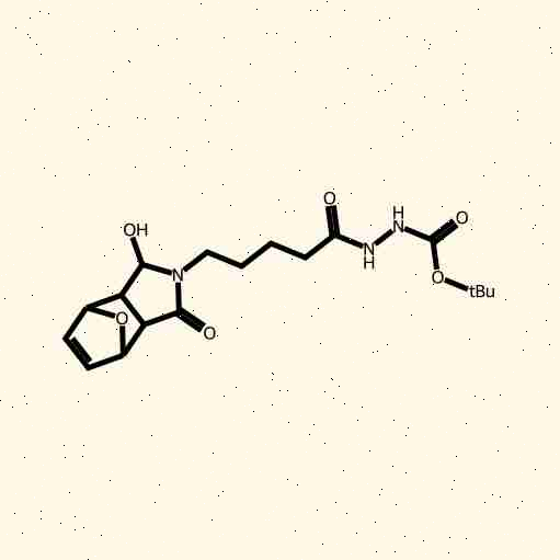 CC(C)(C)OC(=O)NNC(=O)CCCCN1C(=O)C2C3C=CC(O3)C2C1O